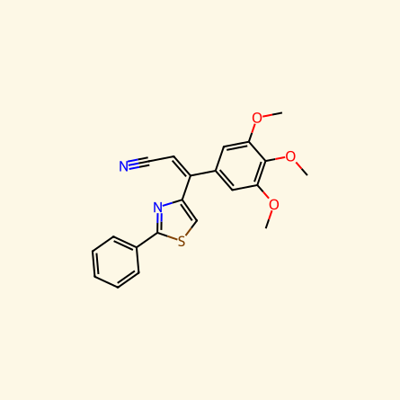 COc1cc(C(=CC#N)c2csc(-c3ccccc3)n2)cc(OC)c1OC